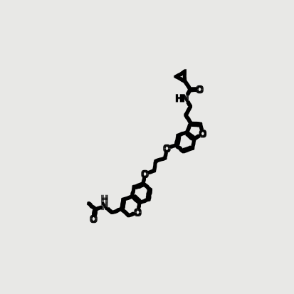 CC(=O)NCC1=Cc2cc(OCCCOc3ccc4occ(CCNC(=O)C5CC5)c4c3)ccc2OC1